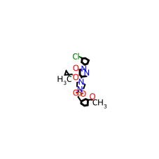 CC(=O)c1cccc(CS(=O)(=O)N2CCN(c3cnn(-c4cccc(Cl)c4)c(=O)c3OCC3(C)CC3)CC2)c1